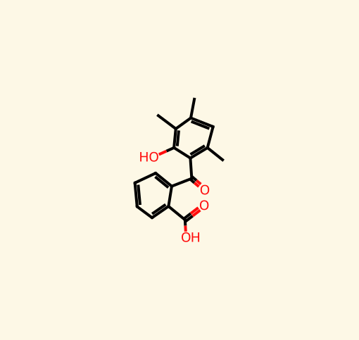 Cc1cc(C)c(C(=O)c2ccccc2C(=O)O)c(O)c1C